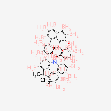 Bc1ccc(N(c2c(B)c(B)c(-c3c(B)c(B)c(B)c4c(B)c(B)c(B)c(-c5c(B)c(B)c(B)c(B)c5B)c34)c(B)c2B)c2c(B)c(B)c(B)c(B)c2-c2c(B)c(B)c(B)c(B)c2B)c2c1C(C)(C)c1c(B)c(B)c(B)c(B)c1-2